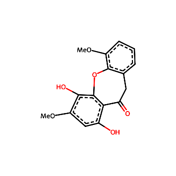 COc1cc(O)c2c(c1O)Oc1c(cccc1OC)CC2=O